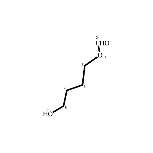 O=COCCCCO